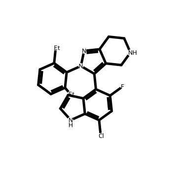 CCc1cccc(CC)c1-n1nc2c(c1-c1c(F)cc(Cl)c3[nH]ccc13)CNCC2